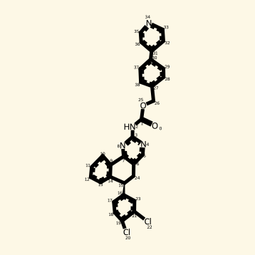 O=C(Nc1ncc2c(n1)-c1ccccc1[C@H](c1ccc(Cl)c(Cl)c1)C2)OCc1ccc(-c2ccncc2)cc1